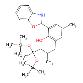 Cc1cc(CC(C)C[Si](C)(O[Si](C)(C)C)O[Si](C)(C)C)c(O)c(C2Nc3ccccc3O2)c1